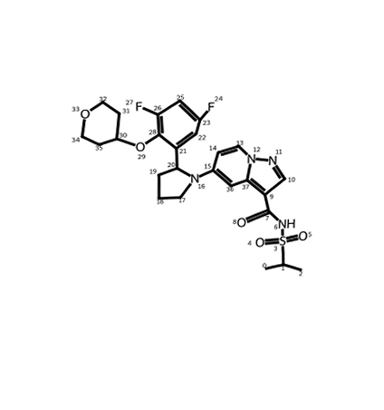 CC(C)S(=O)(=O)NC(=O)c1cnn2ccc(N3CCCC3c3cc(F)cc(F)c3OC3CCOCC3)cc12